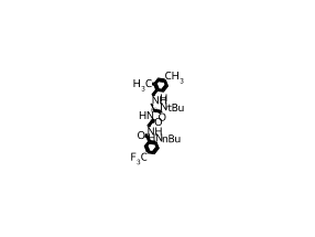 CCCCNc1ccc(C(F)(F)F)cc1C(=O)NCC(=O)N[C@@H](CNCc1ccc(C)cc1C)C(=O)NC(C)(C)C